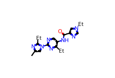 CCc1nc(-n2cc(C)nc2CC)ncc1NC(=O)c1cn(CC)cn1